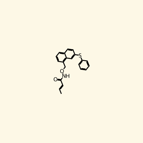 CC=CC(=O)NOCc1cccc2ccc(Sc3ccccc3)cc12